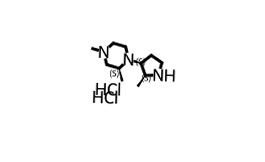 C[C@@H]1NCC[C@@H]1N1CCN(C)C[C@@H]1C.Cl.Cl